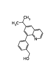 CC(C)c1cc(-c2cccc(CO)c2)c2ncccc2c1